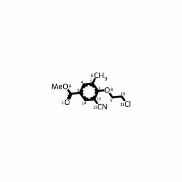 COC(=O)c1cc(C)c(OCCCl)c(C#N)c1